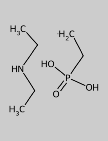 CCNCC.[CH2]CP(=O)(O)O